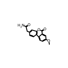 COc1ccc2c(c1)c(=O)oc1cc(CC(N)=O)ccc12